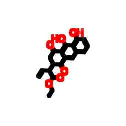 C=CC(C(=O)OCC)C1CC(=O)c2c(cc3cccc(O)c3c2O)C1=O